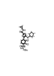 CC(C)(C)NS(=O)(=O)c1ccc(-c2sc(C(=O)NC3CC3)nc2CC2CCCCC2)c(Cl)c1Cl